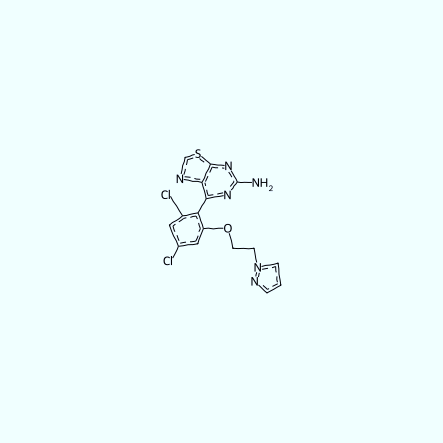 Nc1nc(-c2c(Cl)cc(Cl)cc2OCCn2cccn2)c2ncsc2n1